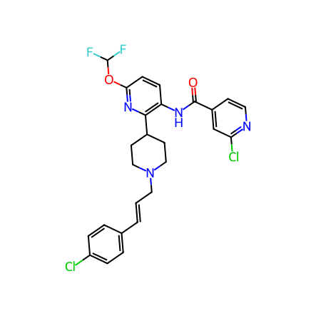 O=C(Nc1ccc(OC(F)F)nc1C1CCN(CC=Cc2ccc(Cl)cc2)CC1)c1ccnc(Cl)c1